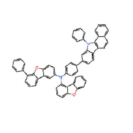 c1ccc(-c2cccc3c2oc2ccc(N(c4ccc(-c5ccc6c7ccc8ccccc8c7n(-c7ccccc7)c6c5)cc4)c4cccc5oc6ccccc6c45)cc23)cc1